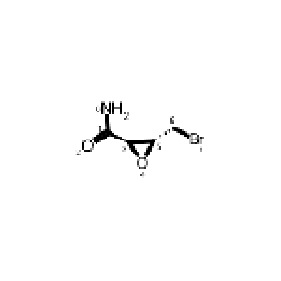 NC(=O)[C@@H]1O[C@H]1CBr